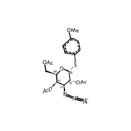 COc1ccc(S[C@H]2O[C@H](COC(C)=O)[C@H](OC(C)=O)[C@H](N=[N+]=[N-])[C@H]2OC(C)=O)cc1